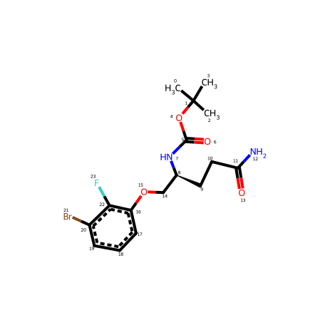 CC(C)(C)OC(=O)N[C@@H](CCC(N)=O)COc1cccc(Br)c1F